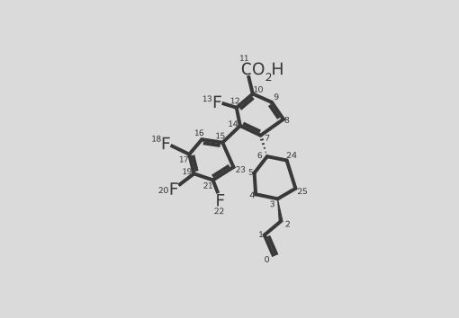 C=CC[C@H]1CC[C@H](c2ccc(C(=O)O)c(F)c2-c2cc(F)c(F)c(F)c2)CC1